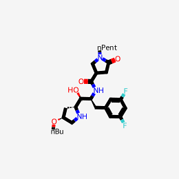 CCCCCN1CC(C(=O)N[C@@H](Cc2cc(F)cc(F)c2)[C@H](O)[C@H]2C[C@@H](OCCCC)CN2)CC1=O